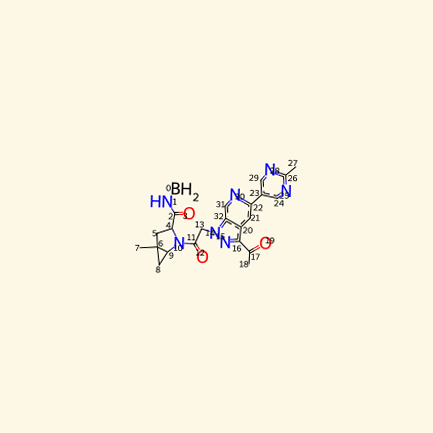 BNC(=O)C1CC2(C)CC2N1C(=O)Cn1nc(C(C)=O)c2cc(-c3cnc(C)nc3)ncc21